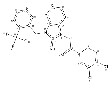 N=c1n(CC(=O)C2C=C(Cl)C(Cl)=CC2)c2ccccc2n1Cc1ccccc1C(F)(F)F